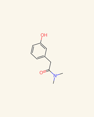 CN(C)C(=O)Cc1cccc(O)c1